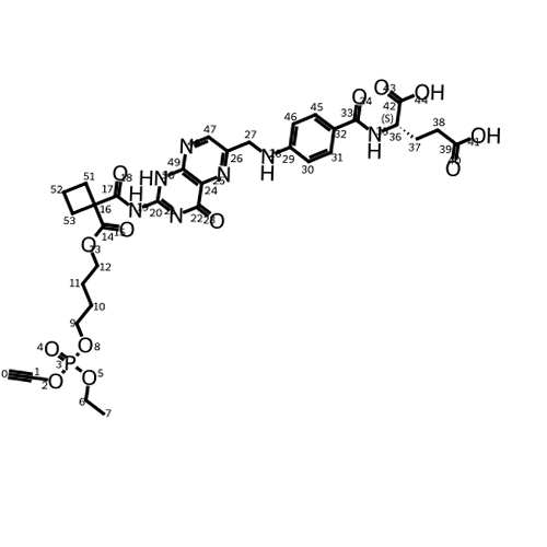 C#COP(=O)(OCC)OCCCCOC(=O)C1(C(=O)Nc2nc(=O)c3nc(CNc4ccc(C(=O)N[C@@H](CCC(=O)O)C(=O)O)cc4)cnc3[nH]2)CCC1